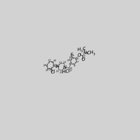 CN(C)C(=O)Oc1ccc(CN2CCN(c3ccccc3Cl)CC2)cc1F.Cl